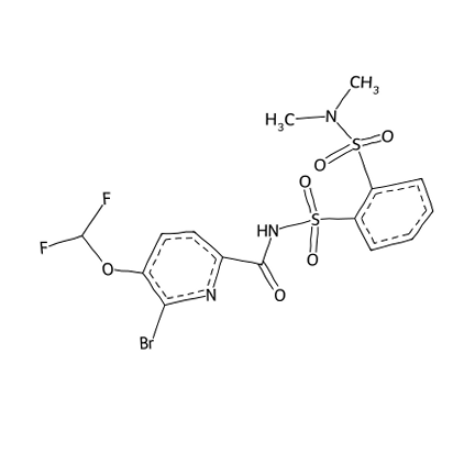 CN(C)S(=O)(=O)c1ccccc1S(=O)(=O)NC(=O)c1ccc(OC(F)F)c(Br)n1